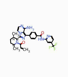 C=CC(=O)N1[C@H](c2nc(-c3ccc(C(=O)Nc4cc(C(F)(F)F)ccn4)cc3)c3c(N)nccn23)[C@H](C)CC[C@@H]1C